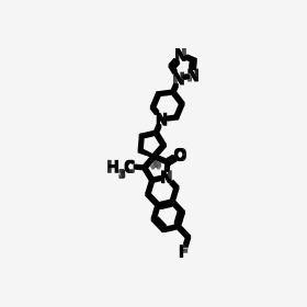 CC1C2Cc3ccc(CF)cc3CN2C(=O)[C@]12CCC(N1CCC(n3cncn3)CC1)C2